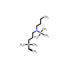 C=C[Si](C)(C)CCCN(CCCC)[Si](C)(C)C